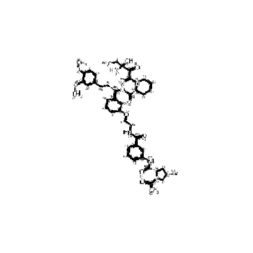 CCC(C)(C)C(=O)C(=O)N1CCCC[C@H]1C(=O)O[C@H](CCc1ccc(OC)c(OC)c1)c1cccc(OCCNC(=O)c2cccc(NC(=O)[C@@H]3C[C@H](S)CN3C(C)=O)c2)c1